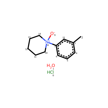 Cl.O.[CH2]c1cccc([N+]2([O-])CCCCC2)c1